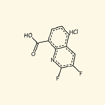 Cl.O=C(O)c1cccc2cc(F)c(F)nc12